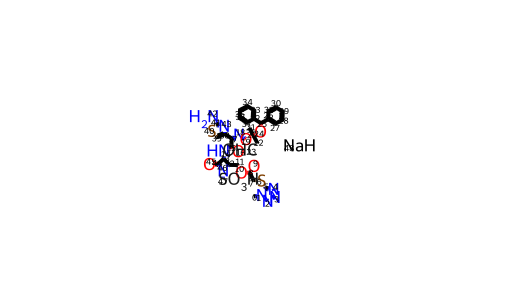 Cn1nnnc1SCC(=O)OCC1C(NC(=O)/C(=N\OC(C)(CC=O)OC(c2ccccc2)c2ccccc2)c2csc(N)n2)C(=O)N1S(=O)(=O)O.[NaH]